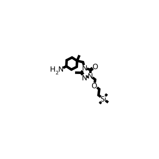 Cc1nn(COCC[Si](C)(C)C)c(=O)n1CC1(C)CCC(N)CC1